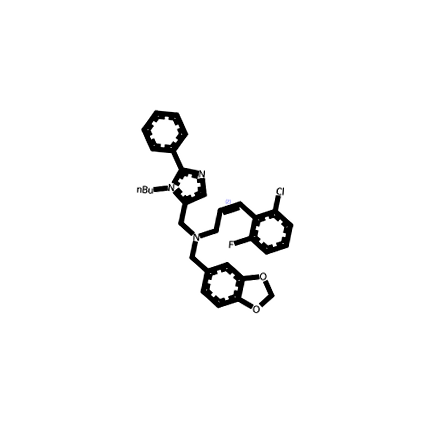 CCCCn1c(CN(C/C=C\c2c(F)cccc2Cl)Cc2ccc3c(c2)OCO3)cnc1-c1ccccc1